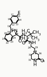 CC(C)(C)[C@H](NC(=O)c1nn(Cc2ccc(F)cc2)c2ccccc12)C(=O)NCCN1CCNC(=O)C1